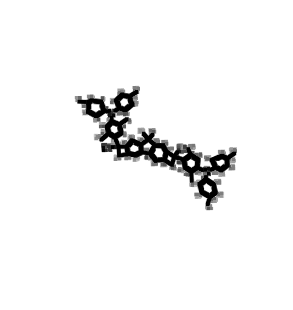 CCC1(c2cc(C)c(N(c3ccc(C)cc3)c3ccc(C)cc3)cc2C)Cc2cc3c(cc21)C(C)(C)c1cc2c(cc1-3)CC2(CC)c1cc(C)c(N(c2ccc(C)cc2)c2ccc(C)cc2)cc1C